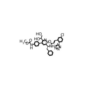 COC(=O)Nc1ccc(-c2cc([C@H](Cc3ccccc3)NC(=O)C=Cc3cc(Cl)ccc3-n3cnnn3)nnc2C(O)CO)cc1